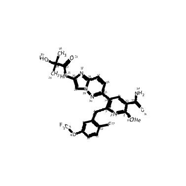 COc1nc(Cc2cc(OC(F)(F)F)ccc2F)c(-c2ccc3nc(NC(=O)C(C)(C)O)cn3n2)cc1C(N)=O